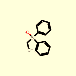 CC[Si]([O])(c1ccccc1)c1ccccc1